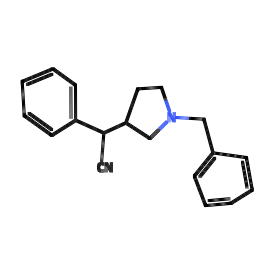 N#CC(c1ccccc1)C1CCN(Cc2ccccc2)C1